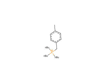 CCCC[PH](CCCC)(CCCC)Cc1ccc(C)cc1